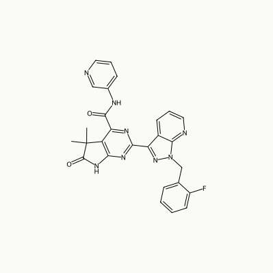 CC1(C)C(=O)Nc2nc(-c3nn(Cc4ccccc4F)c4ncccc34)nc(C(=O)Nc3cccnc3)c21